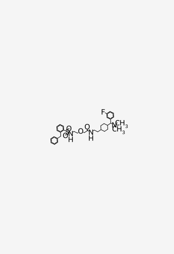 CN(C)C(c1cccc(F)c1)C1CCC(CCNC(=O)COCCNS(=O)(=O)c2ccccc2Cc2ccccc2)CC1